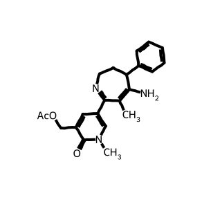 CC(=O)OCc1cc(C2=NCCC(c3ccccc3)C(N)=C2C)cn(C)c1=O